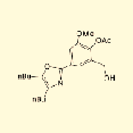 CCCCc1nc(-c2cc(CO)c(OC(C)=O)c(OC)c2)oc1CCCC